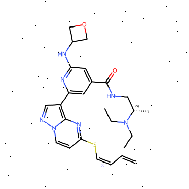 C=C/C=C\Sc1ccn2ncc(-c3cc(C(=O)NC[C@H](C)N(CC)CC)cc(NC4COC4)n3)c2n1